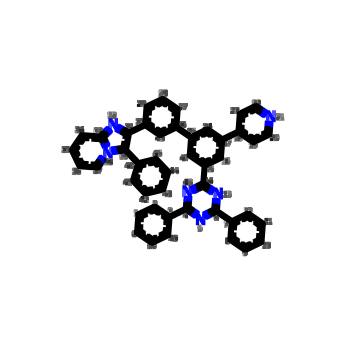 c1ccc(-c2nc(-c3ccccc3)nc(-c3cc(-c4ccncc4)cc(-c4cccc(-c5nc6ccccn6c5-c5ccccc5)c4)c3)n2)cc1